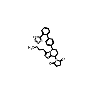 CCCCc1nnc2n1C(c1ccc(-c3ccccc3-c3nnn[nH]3)cc1)CCC2N1C(=O)CCC1=O